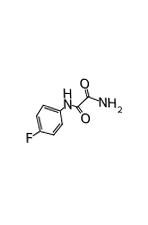 NC(=O)C(=O)Nc1ccc(F)cc1